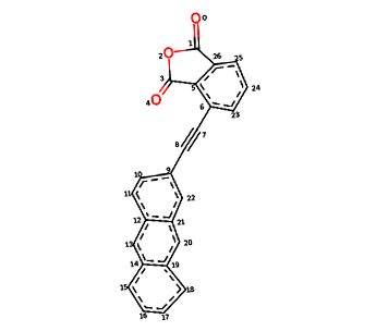 O=C1OC(=O)c2c(C#Cc3ccc4cc5ccccc5cc4c3)cccc21